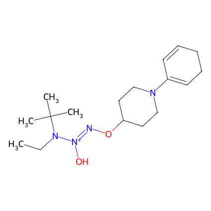 CCN(/[N+](O)=N/OC1CCN(C2=CCCC=C2)CC1)C(C)(C)C